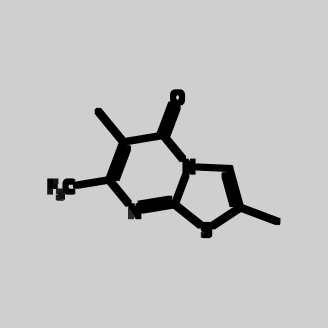 Cc1cn2c(=O)c(C)c(C(F)(F)F)nc2s1